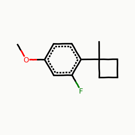 COc1ccc(C2(C)CCC2)c(F)c1